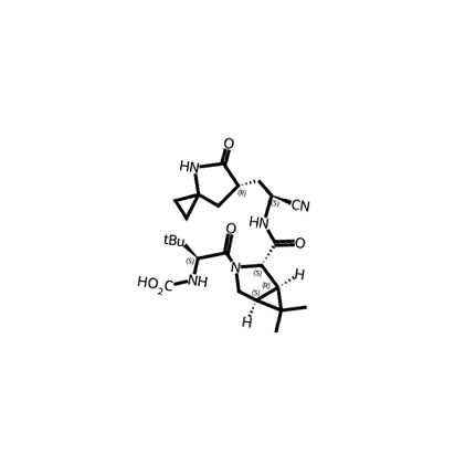 CC(C)(C)[C@H](NC(=O)O)C(=O)N1C[C@H]2[C@@H]([C@H]1C(=O)N[C@H](C#N)C[C@@H]1CC3(CC3)NC1=O)C2(C)C